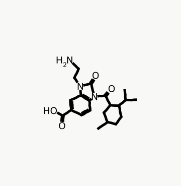 CC1CCC(C(C)C)C(C(=O)n2c(=O)n(CCN)c3cc(C(=O)O)ccc32)C1